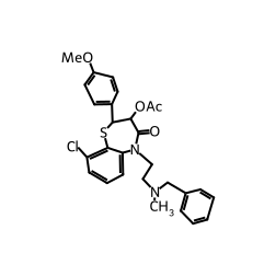 COc1ccc(C2Sc3c(Cl)cccc3N(CCN(C)Cc3ccccc3)C(=O)C2OC(C)=O)cc1